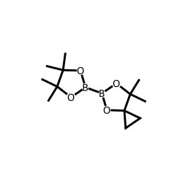 CC1(C)OB(B2OC(C)(C)C3(CC3)O2)OC1(C)C